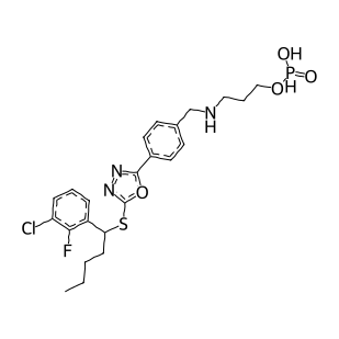 CCCCC(Sc1nnc(-c2ccc(CNCCCO[PH](=O)O)cc2)o1)c1cccc(Cl)c1F